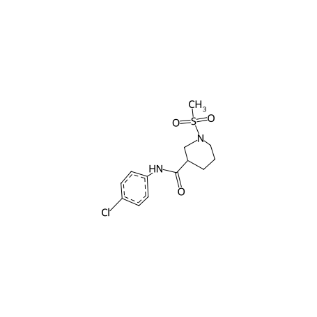 CS(=O)(=O)N1CCCC(C(=O)Nc2ccc(Cl)cc2)C1